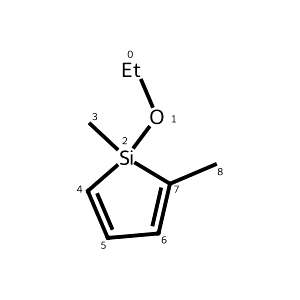 CCO[Si]1(C)C=CC=C1C